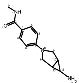 CNC(=O)c1ccc(N2CC3C(N)C3C2)cc1